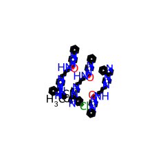 CC(C)(C)c1nc(N2CCN(CCCCNC(=O)N3CCN(c4ccccc4)CC3)CC2)c2ccccc2n1.O=C(NCCCCN1CCN(c2ccnc3cc(Cl)ccc23)CC1)N1CCN(c2ccccc2)CC1.O=C(NCCCCN1CCN(c2ccnc3ccccc23)CC1)N1CCN(c2ccccc2)CC1